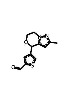 Cc1cc2n(n1)CCOC2c1csc(C=O)c1